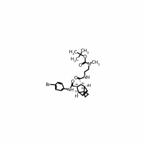 CN(CCNC(=O)[C@H]1[C@H](C(=O)Nc2ccc(Br)cc2)[C@@H]2C=C[C@H]1C21CC1)C(=O)OC(C)(C)C